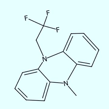 CN1c2ccccc2N(CC(F)(F)F)c2ccccc21